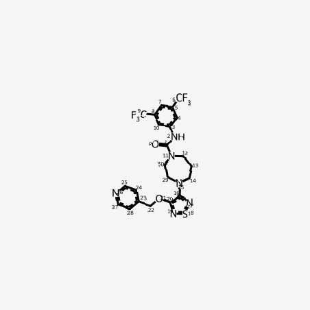 O=C(Nc1cc(C(F)(F)F)cc(C(F)(F)F)c1)N1CCCN(c2nsnc2OCc2ccncc2)CC1